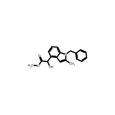 COC(=O)C(O)c1cccc2c1cc(C)n2Cc1ccccc1